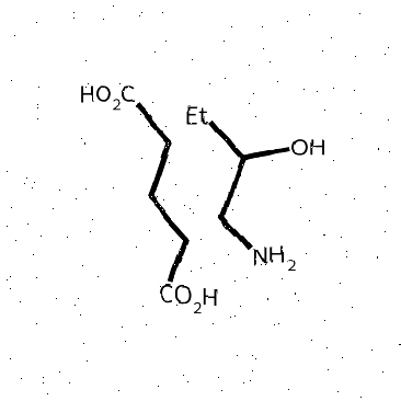 CCC(O)CN.O=C(O)CCCC(=O)O